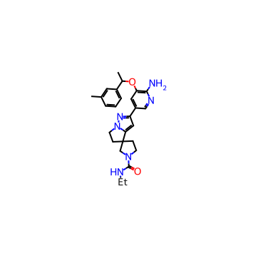 CCNC(=O)N1CCC2(CCn3nc(-c4cnc(N)c(OC(C)c5cccc(C)c5)c4)cc32)C1